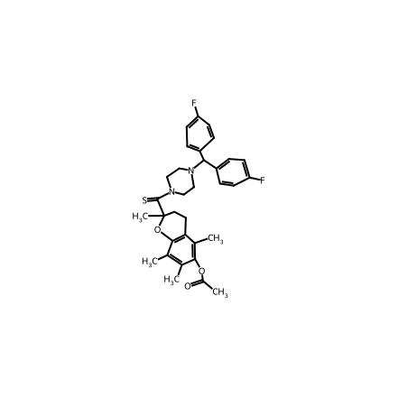 CC(=O)Oc1c(C)c(C)c2c(c1C)CCC(C)(C(=S)N1CCN(C(c3ccc(F)cc3)c3ccc(F)cc3)CC1)O2